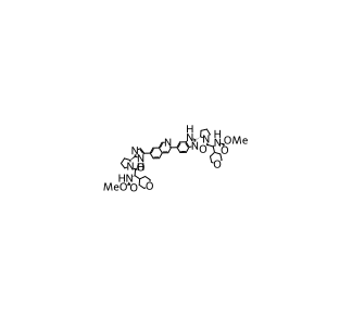 COC(=O)N[C@H](C(=O)N1CCC[C@H]1c1ncc(-c2ccc3cc(-c4ccc5nc([C@@H]6CCCN6C(=O)[C@@H](NC(=O)OC)C6CCOCC6)[nH]c5c4)ncc3c2)[nH]1)C1CCOCC1